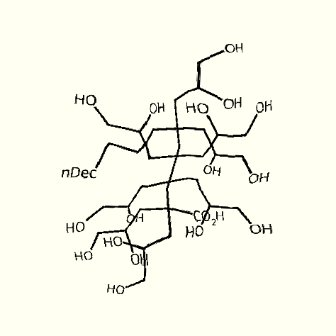 CCCCCCCCCCCCCC(CC(O)CO)(CC(O)CO)C(CC(O)CO)(CC(O)CO)C(CC(O)CO)(CC(O)CO)C(CC(O)CO)(CC(O)CO)C(=O)O